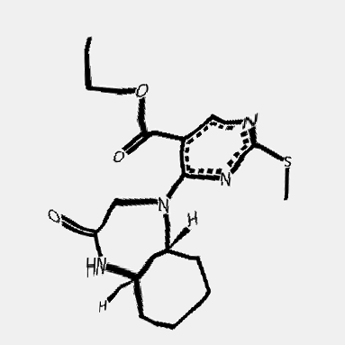 CCOC(=O)c1cnc(SC)nc1N1CC(=O)N[C@H]2CCCC[C@H]21